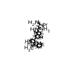 CC(C)C(=C/N)/C=C(\N)Nc1ccc2ncc(/C(C=N)=C/NC(C)c3ccccn3)cc2n1